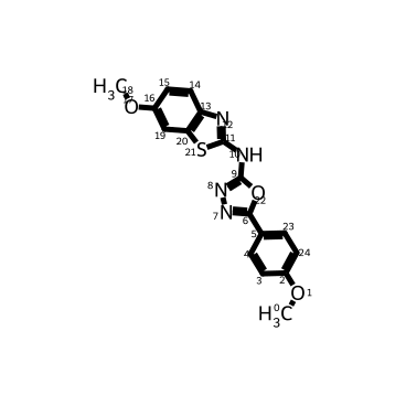 COc1ccc(-c2nnc(Nc3nc4ccc(OC)cc4s3)o2)cc1